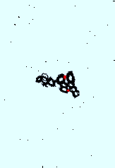 CC1(C)c2ccccc2Oc2cc(-c3cccc4c3-c3ccccc3C43c4ccccc4-c4cc5ccccc5cc43)ccc21